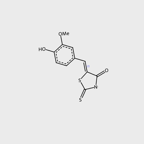 COc1cc(/C=C2\SC(=S)[N]C2=O)ccc1O